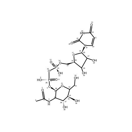 CC(=O)NC1[C@@H](O[P@@](=O)(O)O[P@@](=O)(O)OC[C@H]2O[C@@H](n3ccc(=O)[nH]c3=O)C(O)C2O)OC(CO)[C@@H](O)[C@@H]1O